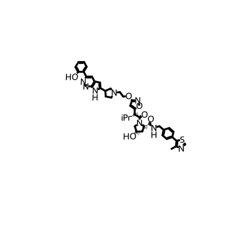 Cc1ncsc1-c1ccc(CNC(=O)[C@@H]2C[C@@H](O)CN2C(=O)[C@@H](c2cc(OCCN3CCC(c4cc5cc(-c6ccccc6O)nnc5[nH]4)C3)no2)C(C)C)cc1